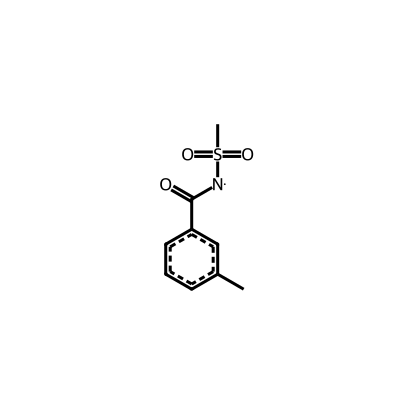 Cc1cccc(C(=O)[N]S(C)(=O)=O)c1